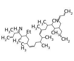 C=C/C=C\CC(CC=C)C(C)C(C#N)C(C)C/C(C)=C\C(C)C(C)C/C=C\C(C)CC(CC)C(C)C(N)[C@@H](C)C=C